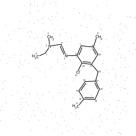 CCN(C)C=Nc1cc(C)cc(Cc2ccc(C)cc2)c1Cl